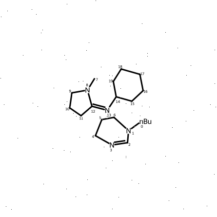 CCCCN1C=NCCC1.CN1CCCC1=NC1CCCCC1